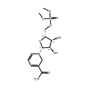 COP(=O)(OC)OC[C@H]1O[C@@H](N2C=CC=C(C(N)=O)C2)[C@H](O)[C@@H]1O